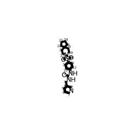 O=C(NCc1cccnc1)Nc1ccc(S(=O)(=O)N2CCC3(CCCC3)CC2)cc1